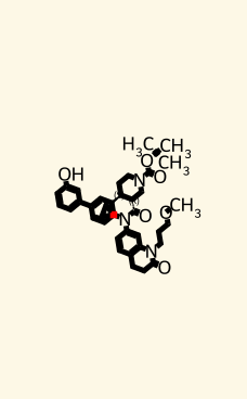 COCCCN1C(=O)CCc2ccc(N(C(=O)[C@H]3CN(C(=O)OC(C)(C)C)CC[C@@H]3c3cccc(-c4cccc(O)c4)c3)C3CC3)cc21